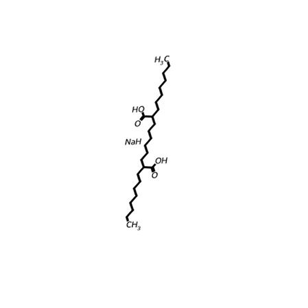 CCCCCCCCC(CCCCCCC(CCCCCCCC)C(=O)O)C(=O)O.[NaH]